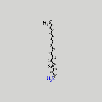 CCCCCCCCCCCCCC[Se]CCCN